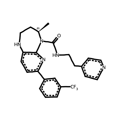 C[C@@H]1CCNc2ccc(-c3cccc(C(F)(F)F)c3)nc2N1C(=O)NCCc1ccncc1